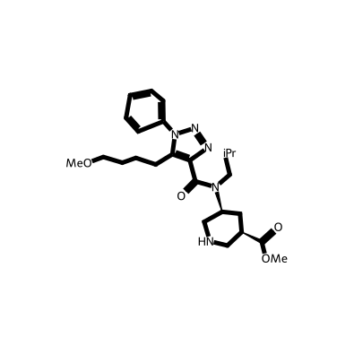 COCCCCc1c(C(=O)N(CC(C)C)[C@@H]2CNC[C@H](C(=O)OC)C2)nnn1-c1ccccc1